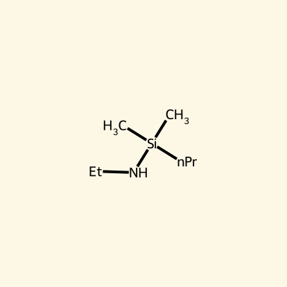 CCC[Si](C)(C)NCC